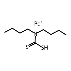 CCCCN(CCCC)C(=S)S.[Pb]